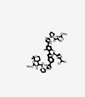 CCC(CC)c1ncc(C2Oc3cc(-c4cnc([C@@H]5CCCN5C(=O)C(NC(=O)OC)C(C)C)[nH]4)cc(F)c3-c3cc4cc(-c5cnc([C@@H]6CCCN6C(=O)C(NC(=O)OC)C6CCOC(C)(C)C6)[nH]5)ccc4n32)s1